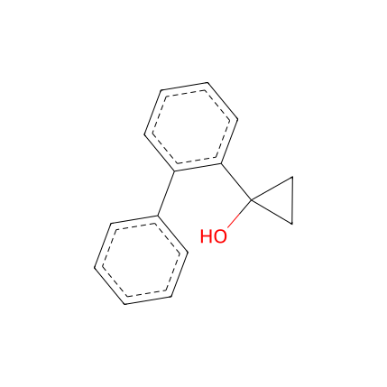 OC1(c2ccccc2-c2ccccc2)CC1